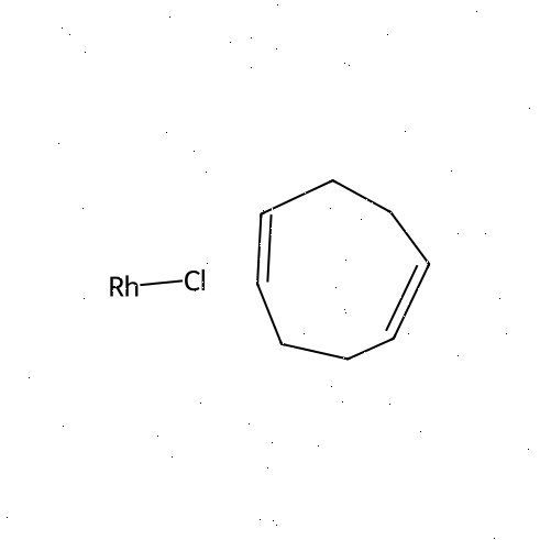 C1=C\CC/C=C\CC/1.[Cl][Rh]